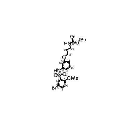 COc1ncc(Br)cc1S(=O)(=O)Nc1cccc(OCCCNC(=O)OC(C)(C)C)c1